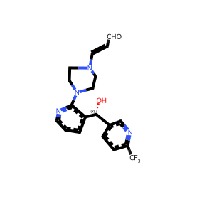 O=CC=CN1CCN(c2ncccc2[C@H](O)c2ccc(C(F)(F)F)nc2)CC1